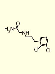 NC(=O)CNCCCc1cccc(Cl)c1Cl